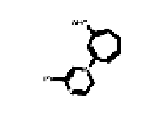 CC(C)C1=CN(C2=CC(C=O)=CCC=C2)CC=N1